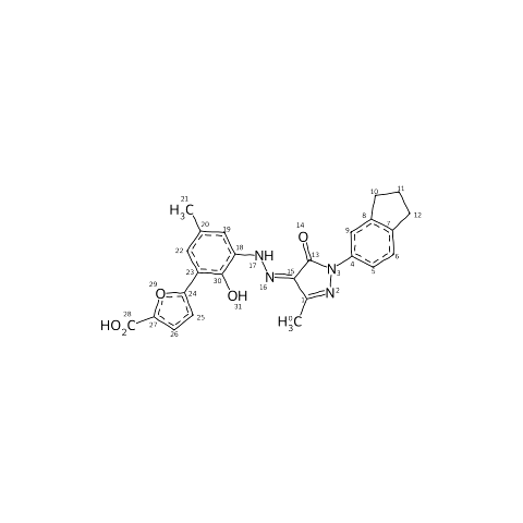 CC1=NN(c2ccc3c(c2)CCC3)C(=O)C1=NNc1cc(C)cc(-c2ccc(C(=O)O)o2)c1O